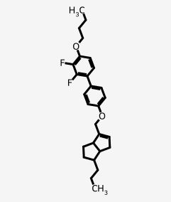 CCCCOc1ccc(-c2ccc(OCC3=CCC4C(CCC)CCC34)cc2)c(F)c1F